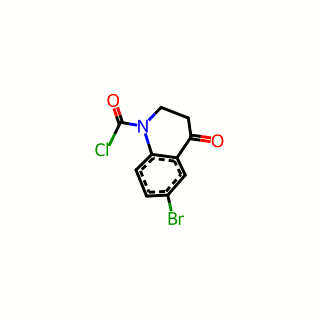 O=C1CCN(C(=O)Cl)c2ccc(Br)cc21